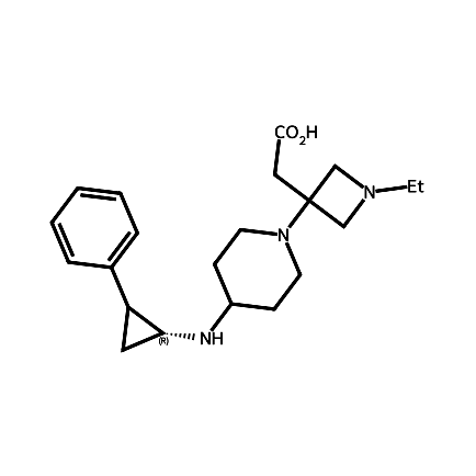 CCN1CC(CC(=O)O)(N2CCC(N[C@@H]3CC3c3ccccc3)CC2)C1